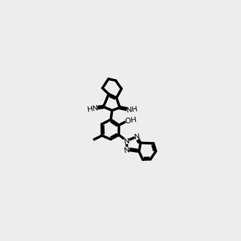 Cc1cc(C2C(=N)C3=C(CCCC3)C2=N)c(O)c(-n2nc3ccccc3n2)c1